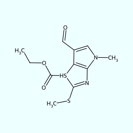 CCOC(=O)[SH]1C(SC)=Nc2c1c(C=O)cn2C